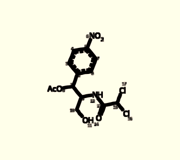 CC(=O)OC(c1ccc([N+](=O)[O-])cc1)C(CO)NC(=O)C(Cl)Cl